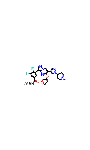 CNC(=O)c1cc(F)c(F)c(-c2cnn3cc(-c4cnn(C5CCN(C)CC5)c4)c(O[C@H]4CCOC4)nc23)c1